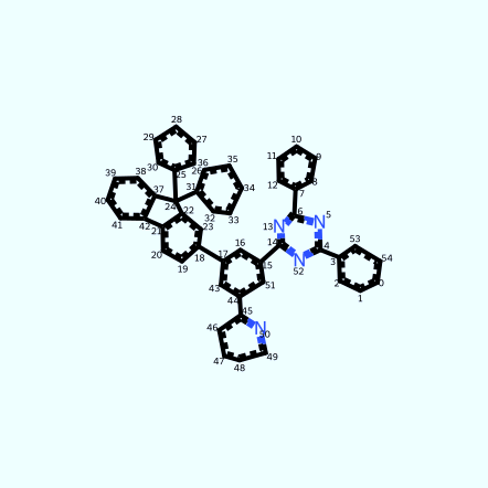 c1ccc(-c2nc(-c3ccccc3)nc(-c3cc(-c4ccc5c(c4)C(c4ccccc4)(c4ccccc4)c4ccccc4-5)cc(-c4ccccn4)c3)n2)cc1